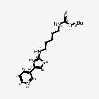 CC(C)(C)OC(=O)NCCCCCNc1nc(-c2cccnc2)cs1